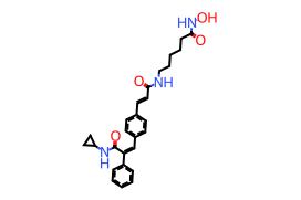 O=C(C=Cc1ccc(C=C(C(=O)NC2CC2)c2ccccc2)cc1)NCCCCCC(=O)NO